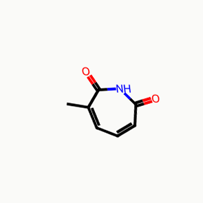 Cc1cccc(=O)[nH]c1=O